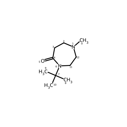 CN1CCC(=O)N(C(C)(C)C)CC1